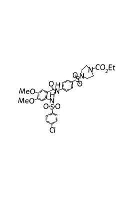 CCOC(=O)N1CCN(S(=O)(=O)c2ccc(NC(=O)c3cc(OC)c(OC)cc3NS(=O)(=O)c3ccc(Cl)cc3)cc2)CC1